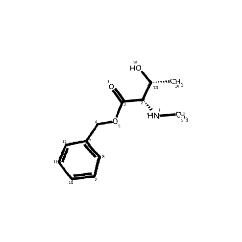 CN[C@H](C(=O)OCc1ccccc1)[C@@H](C)O